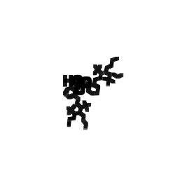 CCCCC(C(CCC)C(C)(C)C)C(CCc1ccccc1OP(O)Oc1ccccc1CCC(C(CCCC)C(CCC)C(C)(C)C)C(C)(C)C)C(C)(C)C